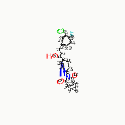 O=C1C2C3C=CC(C4CC34)C2C(=O)N1c1ccc(C(O)CCc2ccc(F)c(Cl)c2)cn1